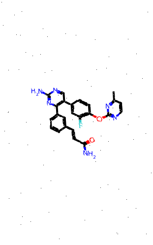 Cc1ccnc(Oc2ccc(-c3cnc(N)nc3-c3cccc(C=CC(N)=O)c3)cc2F)n1